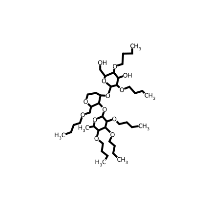 CCCCOCC1OCCC(OC2OC(CO)C(OCCCC)C(O)C2OCCCC)C1OC1OC(C)C(OCCCC)C(OCCCC)C1OCCCC